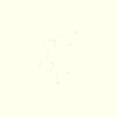 CC(C)Cc1ccc(-c2cccc(N(C)C)n2)s1